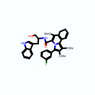 COc1c2c(c3c(OC)c(OC)c(-c4cccc(F)c4)n3c1C(=O)NC(CO)Cc1c[nH]c3ccccc13)C=CCC2